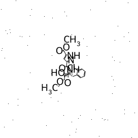 CCOC(=O)c1cc(C(=O)N[C@H](Cc2ccccc2Cl)[C@@H](O)C(=O)OCC)n[nH]1